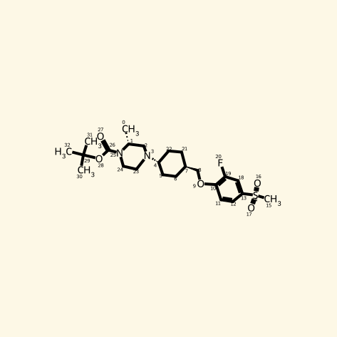 C[C@@H]1CN([C@H]2CC[C@H](COc3ccc(S(C)(=O)=O)cc3F)CC2)CCN1C(=O)OC(C)(C)C